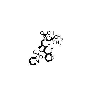 CC(C)(C)CN(Cc1cn(S(=O)(=O)c2ccccn2)c(-c2cccnc2F)c1F)C(=O)O